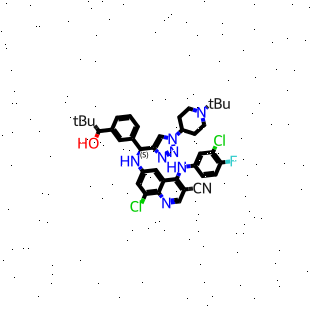 CC(C)(C)C(O)c1cccc([C@H](Nc2cc(Cl)c3ncc(C#N)c(Nc4ccc(F)c(Cl)c4)c3c2)c2cn(C3CCN(C(C)(C)C)CC3)nn2)c1